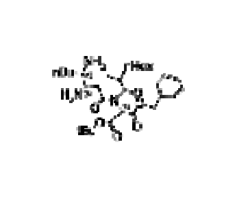 CCCCCCC(C)C(=O)N(C(=O)C[C@H](N)[C@@H](N)CCCC)[C@H](C(=O)OCc1ccccc1)C(=O)OC(C)(C)C